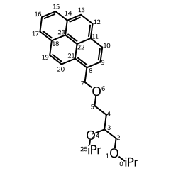 CC(C)OCC(CCOCc1ccc2ccc3cccc4ccc1c2c34)OC(C)C